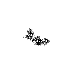 COc1ccc(-c2nc(C(=O)NCC(=O)c3ccccc3)c([C@H](C)N)o2)c2ccc(C(F)(F)F)nc12